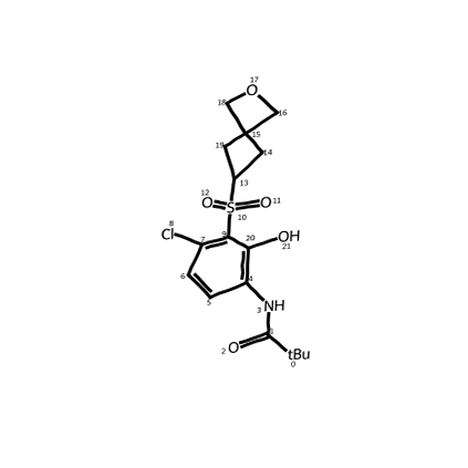 CC(C)(C)C(=O)Nc1ccc(Cl)c(S(=O)(=O)C2CC3(COC3)C2)c1O